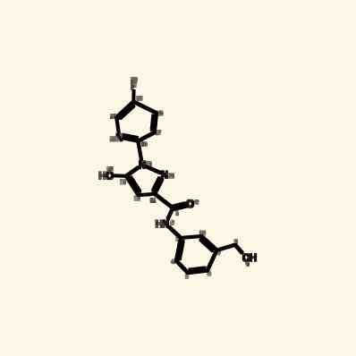 O=C(Nc1cccc(CO)c1)c1cc(O)n(-c2ccc(F)cn2)n1